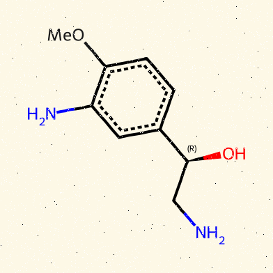 COc1ccc([C@@H](O)CN)cc1N